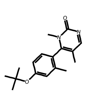 Cc1cc(OC(C)(C)C)ccc1-c1c(C)cnc(=O)n1C